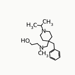 CC(C)N1CCC(Cc2ccccc2)(CN(C)CCO)CC1